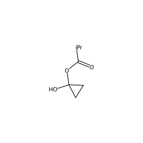 CC(C)C(=O)OC1(O)CC1